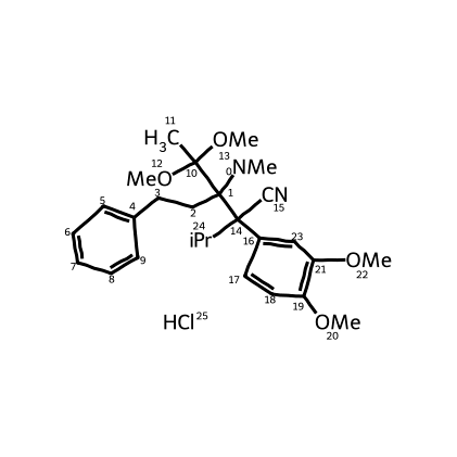 CNC(CCc1ccccc1)(C(C)(OC)OC)C(C#N)(c1ccc(OC)c(OC)c1)C(C)C.Cl